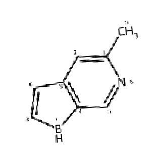 Cc1cc2c(cn1)BC=C2